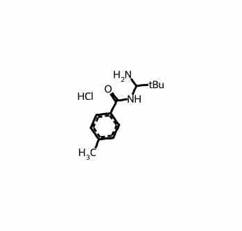 Cc1ccc(C(=O)NC(N)C(C)(C)C)cc1.Cl